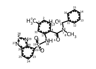 Cc1ccc(C(=O)N(C)[C@H](C)c2ccccc2)c(NS(=O)(=O)c2cccc3nsnc23)c1